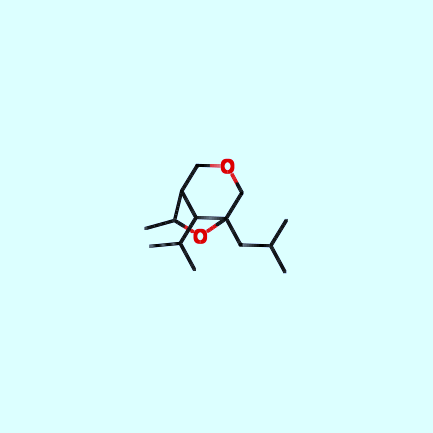 CC(C)CC12COCC(C(C)O1)C2C(C)C